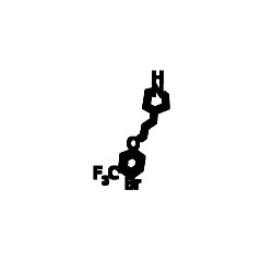 FC(F)(F)c1cc(OCCCC2CCNCC2)ccc1Br